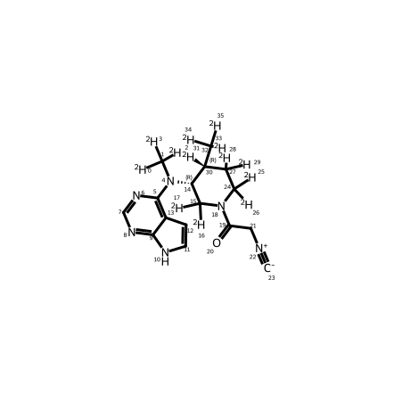 [2H]C([2H])([2H])N(c1ncnc2[nH]ccc12)[C@H]1C([2H])([2H])N(C(=O)C[N+]#[C-])C([2H])([2H])C([2H])([2H])[C@@]1([2H])C([2H])([2H])[2H]